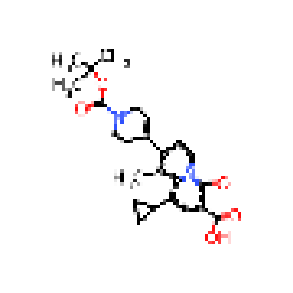 Cc1c(C2=CCN(C(=O)OC(C)(C)C)CC2)ccn2c(=O)c(C(=O)O)cc(C3CC3)c12